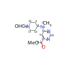 COC(=O)c1cc(N(C)C2CCN(C=O)CC2)ncn1